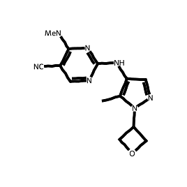 CNc1nc(Nc2cnn(C3COC3)c2C)ncc1C#N